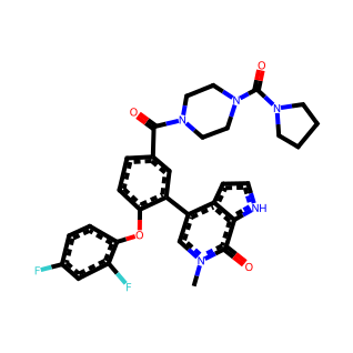 Cn1cc(-c2cc(C(=O)N3CCN(C(=O)N4CCCC4)CC3)ccc2Oc2ccc(F)cc2F)c2cc[nH]c2c1=O